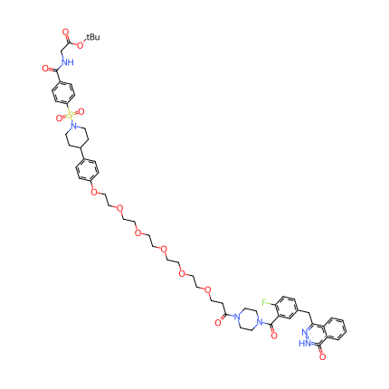 CC(C)(C)OC(=O)CNC(=O)c1ccc(S(=O)(=O)N2CCC(c3ccc(OCCOCCOCCOCCOCCOCCC(=O)N4CCN(C(=O)c5cc(Cc6n[nH]c(=O)c7ccccc67)ccc5F)CC4)cc3)CC2)cc1